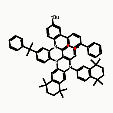 Cc1cc2c3c(c1)N(c1ccc(C(C)(C)C)cc1-c1ccc(-c4ccccc4)cc1)c1cc(C(C)(C)c4ccccc4)ccc1B3c1cc3c(cc1N2c1ccc2c(c1)C(C)(C)CCC2(C)C)C(C)(C)CCC3(C)C